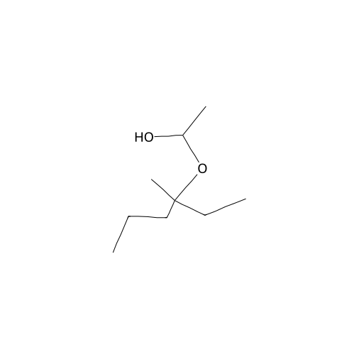 CCCC(C)(CC)OC(C)O